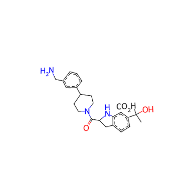 CC(O)(C(=O)O)c1ccc2c(c1)NC(C(=O)N1CCC(c3cccc(CN)c3)CC1)C2